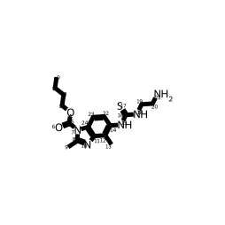 CCCCOC(=O)n1c(C)nc2c(C)c(NC(=S)NCCN)ccc21